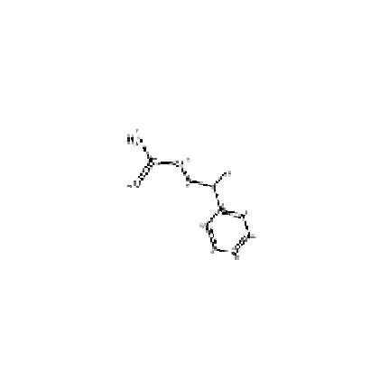 [CH2]C(COC(N)=O)c1ccccc1